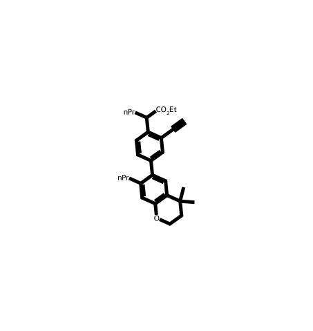 C#Cc1cc(-c2cc3c(cc2CCC)OCCC3(C)C)ccc1C(CCC)C(=O)OCC